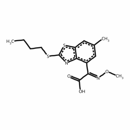 CCCCSc1nc2c(/C(=N\OC)C(=O)O)cc(C)cc2s1